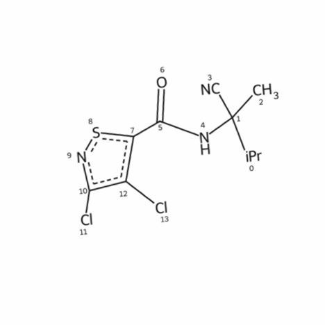 CC(C)C(C)(C#N)NC(=O)c1snc(Cl)c1Cl